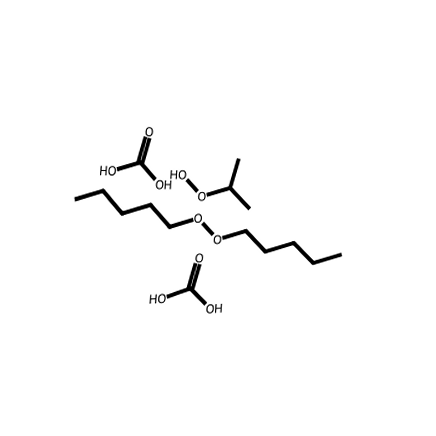 CC(C)OO.CCCCCOOCCCCC.O=C(O)O.O=C(O)O